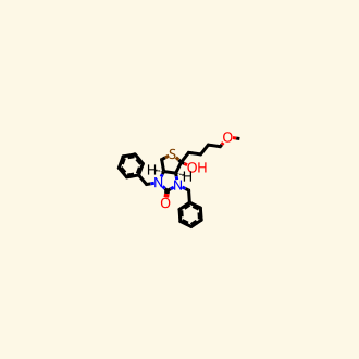 COCCCCC1(O)SC[C@H]2[C@@H]1N(Cc1ccccc1)C(=O)N2Cc1ccccc1